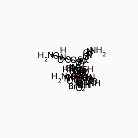 Cc1cn([C@H]2C[C@@H](OP(=S)(OCCOCCOCCNC(=O)CCOCCN)OC[C@H]3O[C@@H](n4ccc(N)nc4=O)C[C@H]3C(C)C)[C@@H](COP(=O)(S)O[C@@H]3C[C@H](n4cnc5c(=O)[nH]c(N)nc54)O[C@@H]3COP(=S)(S)O[C@@H]3C[C@H](n4ccc(N)nc4=O)O[C@@H]3COP(=O)(S)O[C@@H]3C[C@H](n4cc(Br)c(=O)[nH]c4=O)O[C@@H]3CO)O2)c(=O)[nH]c1=O